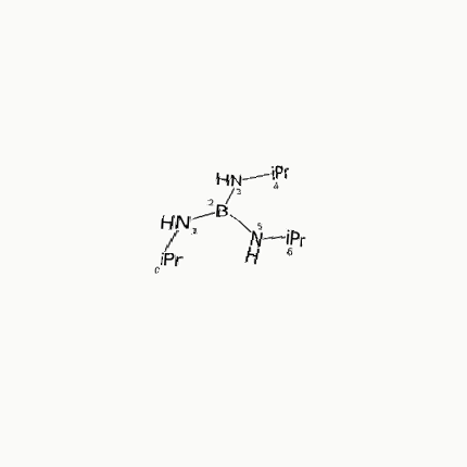 CC(C)NB(NC(C)C)NC(C)C